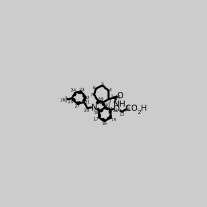 NC(=O)C1CCCCc2c1c1c(OCC(=O)O)cccc1n2Cc1cccc(I)c1